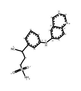 N#CC(CCS(N)(=O)=O)c1cccc(Nc2ccc3ncncc3c2)c1